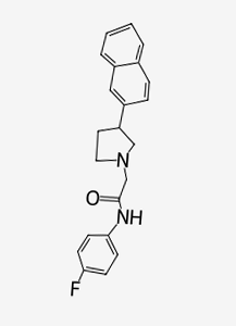 O=C(CN1CCC(c2ccc3ccccc3c2)C1)Nc1ccc(F)cc1